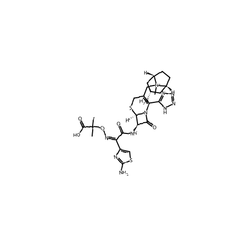 CC(C)(O/N=C(\C(=O)N[C@@H]1C(=O)N2C(c3nnn[nH]3)=C(C[N+]3(C)[C@@H]4CC[C@H]3C[C@@H](N)C4)CS[C@H]12)c1csc(N)n1)C(=O)O